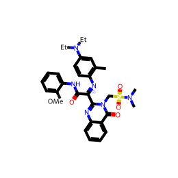 CCN(CC)c1ccc(/N=C(\C(=O)Nc2ccccc2OC)c2nc3ccccc3c(=O)n2CS(=O)(=O)N(C)C)c(C)c1